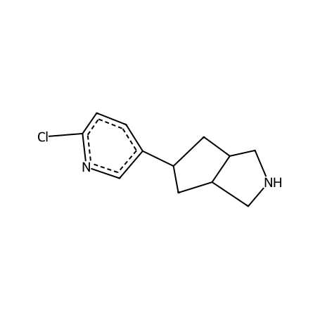 Clc1ccc(C2CC3CNCC3C2)cn1